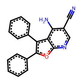 N#Cc1cnc2oc(-c3ccccc3)c(-c3ccccc3)c2c1N